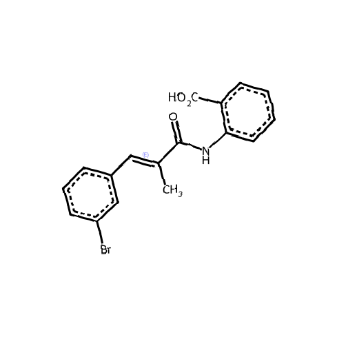 C/C(=C\c1cccc(Br)c1)C(=O)Nc1ccccc1C(=O)O